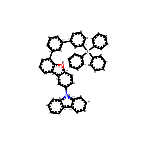 c1ccc([Si](c2ccccc2)(c2ccccc2)c2cccc(-c3cccc(-c4cccc5c4oc4ccc(-n6c7ccccc7c7ccccc76)cc45)c3)c2)cc1